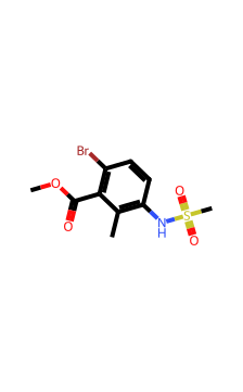 COC(=O)c1c(Br)ccc(NS(C)(=O)=O)c1C